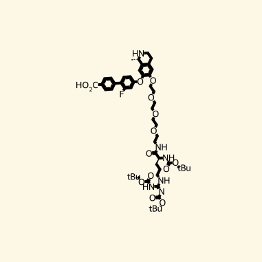 C[C@@H]1NCCc2cc(OCCOCCOCCOCCNC(=O)[C@H](CCCN/C(=N/C(=O)OC(C)(C)C)NC(=O)OC(C)(C)C)NC(=O)OC(C)(C)C)c(Oc3ccc(-c4ccc(C(=O)O)cc4)c(F)c3)cc21